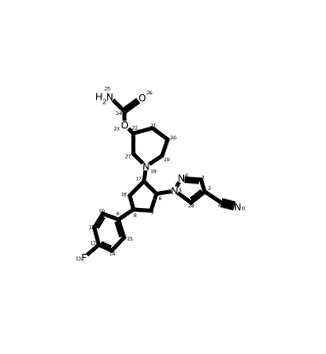 N#Cc1cnn(C2CC(c3ccc(F)cc3)CC2N2CCCC(OC(N)=O)C2)c1